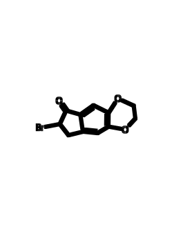 O=C1c2cc3c(cc2CC1Br)OCCO3